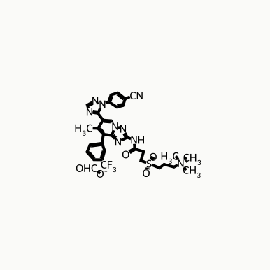 Cc1c(-c2ncnn2-c2ccc(C#N)cc2)cn2nc(NC(=O)CCS(=O)(=O)CCC[N+](C)(C)C)nc2c1-c1cccc(C(F)(F)F)c1.O=C[O-]